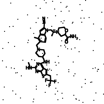 CNc1nc(NC2CCN(Cc3ccc4c(cc(C#N)n4C[C@H](C)N4CCOC(C(N)=O)C4)c3C)CC2)c2cc(CC(F)(F)F)sc2n1